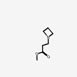 COC(=O)CCN1CCC1